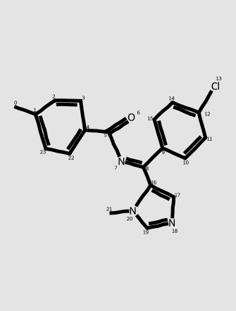 Cc1ccc(C(=O)/N=C(\c2ccc(Cl)cc2)c2cncn2C)cc1